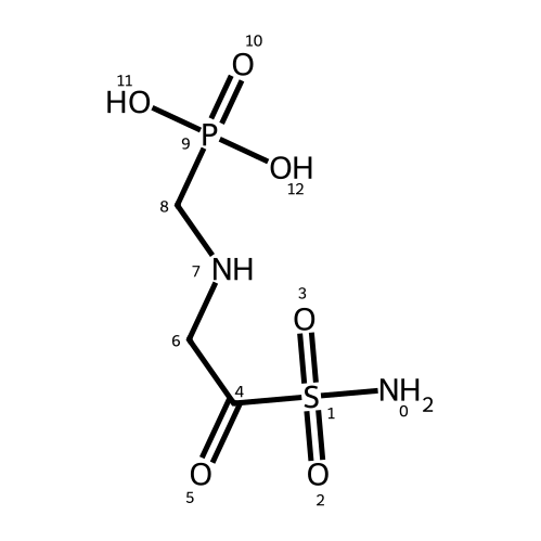 NS(=O)(=O)C(=O)CNCP(=O)(O)O